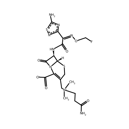 C[N+](C)(CCC(N)=O)CC1=C(C(=O)[O-])N2C(=O)[C@@H](NC(=O)/C(=N\OCF)c3nsc(N)n3)[C@@H]2SC1